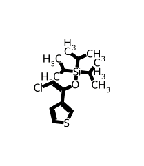 CC(C)[Si](O/C(=C/Cl)c1ccsc1)(C(C)C)C(C)C